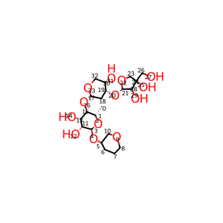 C[C@@H]1O[C@@H](O[C@@H]2CCCOC2)[C@H](O)[C@H](O)[C@H]1O[C@H]1C[C@@H](O[C@@H]2OC[C@](O)(CO)[C@H]2O)[C@H](O)CO1